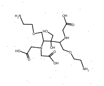 NCCOCC(NCC(=O)O)C(O)(CO)C(COCCN)N(CC(=O)O)CC(=O)O